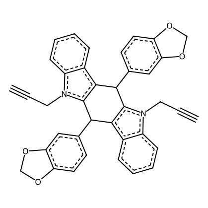 C#CCn1c2c(c3ccccc31)C(c1ccc3c(c1)OCO3)c1c(c3ccccc3n1CC#C)C2c1ccc2c(c1)OCO2